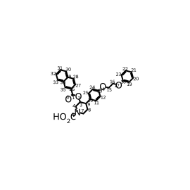 O=C(OC1CN(C(=O)O)CCC1c1ccc(OCCOc2ccccc2)cc1)c1ccc2ccccc2c1